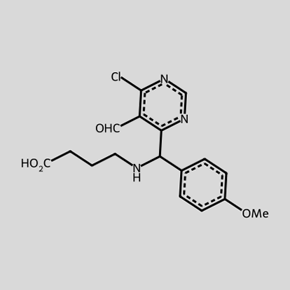 COc1ccc(C(NCCCC(=O)O)c2ncnc(Cl)c2C=O)cc1